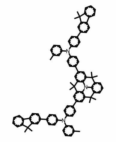 Cc1cccc(N(c2ccc(-c3ccc4c(c3)C(C)(C)c3ccccc3-4)cc2)c2ccc(-c3cc4c5c(c3)C(C)(C)c3cc(-c6ccc(N(c7ccc(-c8ccc9c(c8)C(C)(C)c8ccccc8-9)cc7)c7cccc(C)c7)cc6)cc6c3N5c3c(cccc3C6(C)C)C4(C)C)cc2)c1